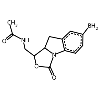 Bc1ccc2c(c1)CC1C(CNC(C)=O)OC(=O)N21